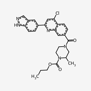 CCCOC(=O)N1CCN(C(=O)c2ccc3c(Cl)cc(-c4ccc5[nH]ncc5c4)nc3c2)CC1C